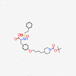 CC(C)(C)OC(=O)N1CCC(CCCCOc2ccc(CC(NS(=O)(=O)CCc3ccccc3)C(=O)O)cc2)CC1